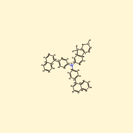 CC1C=CC2=C(C1)C(C)(C)c1cc(N(c3ccc(-c4cccc5ccccc45)cc3)c3ccc(-c4cccc5ccccc45)cc3)ccc12